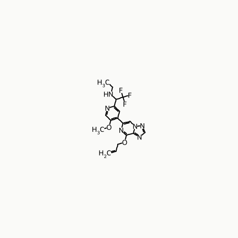 C=CCOc1nc(-c2cc(C(NCC)C(F)(F)F)ncc2OC)cn2ncnc12